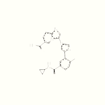 Cc1ccc(C(=O)NC2CC2)cc1-c1cn(-c2cnc3ccc(C(=O)O)cn23)cn1